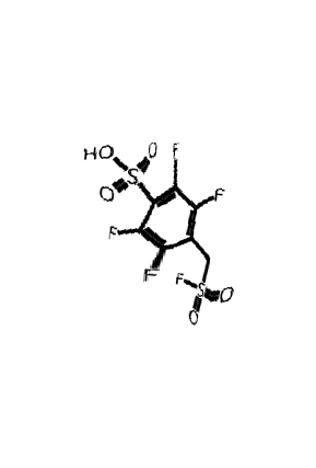 O=S(=O)(F)Cc1c(F)c(F)c(S(=O)(=O)O)c(F)c1F